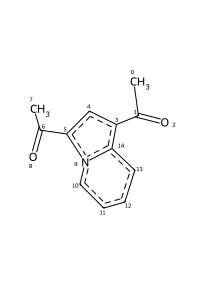 CC(=O)c1cc(C(C)=O)n2ccccc12